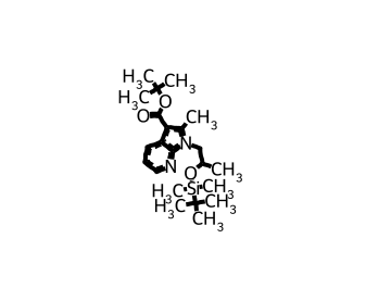 Cc1c(C(=O)OC(C)(C)C)c2cccnc2n1CC(C)O[Si](C)(C)C(C)(C)C